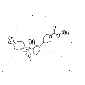 CN1CC(C)([C@](O)(c2ccc(OC(F)(F)F)cc2)c2cccc(C3CCN(C(=O)OC(C)(C)C)CC3)c2)C1